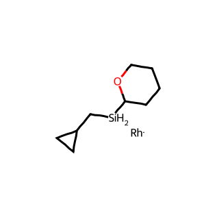 C1CCC([SiH2]CC2CC2)OC1.[Rh]